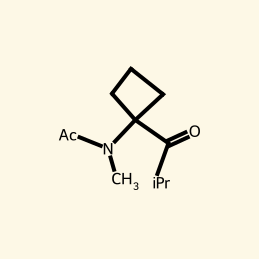 CC(=O)N(C)C1(C(=O)C(C)C)CCC1